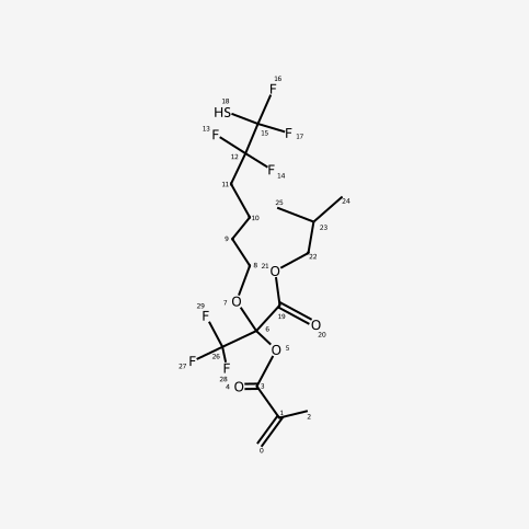 C=C(C)C(=O)OC(OCCCCC(F)(F)C(F)(F)S)(C(=O)OCC(C)C)C(F)(F)F